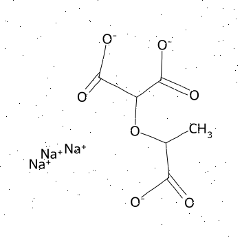 CC(OC(C(=O)[O-])C(=O)[O-])C(=O)[O-].[Na+].[Na+].[Na+]